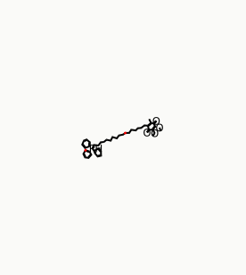 COC1=C(OC)C(=O)C(CCCCCCCCCCCCCCCCC[PH](c2ccccc2)(c2ccccc2)c2ccccc2)=C(C)C1=O